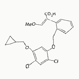 COC=C(C(=O)O)c1ccccc1COc1cc(OCC2CC2)c(Cl)cc1Cl